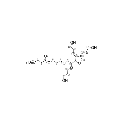 CCCCCCCCCCCCC(=O)OCCCOCC(OCCCO)C1OCC(OCCO)C1OCCO